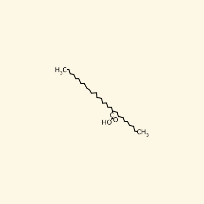 CCCCCCCCCCCCCCCCCCC(CCCCCCCCC)CC(=O)O